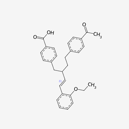 CCOc1ccccc1/C=C/C(CCc1ccc(C(C)=O)cc1)Cc1ccc(C(=O)O)cc1